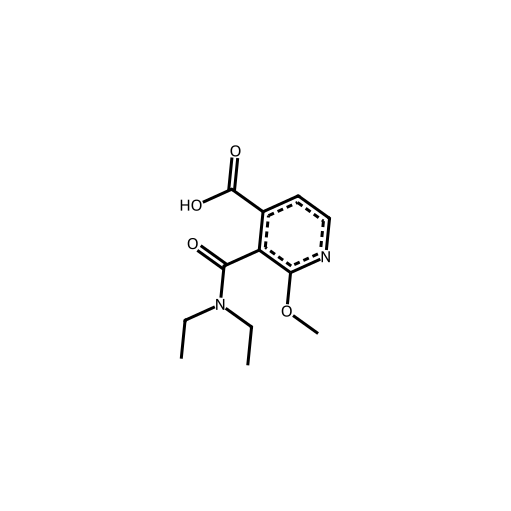 CCN(CC)C(=O)c1c(C(=O)O)ccnc1OC